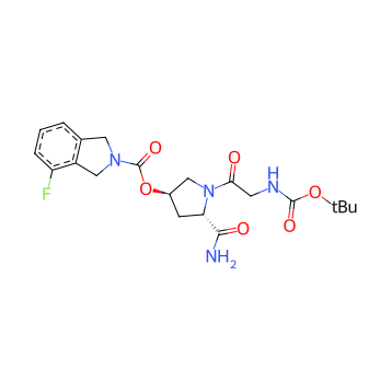 CC(C)(C)OC(=O)NCC(=O)N1C[C@H](OC(=O)N2Cc3cccc(F)c3C2)C[C@H]1C(N)=O